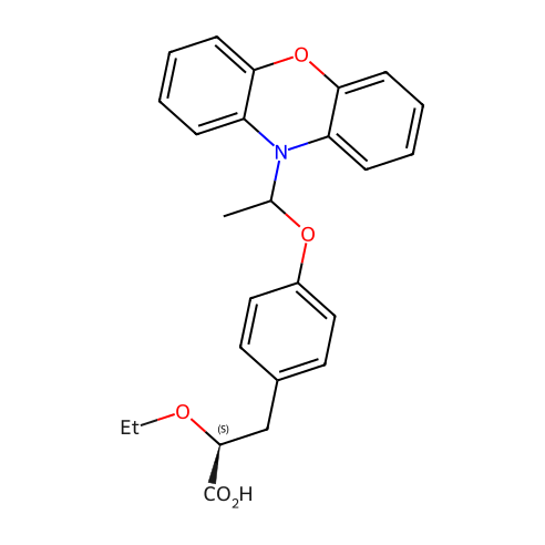 CCO[C@@H](Cc1ccc(OC(C)N2c3ccccc3Oc3ccccc32)cc1)C(=O)O